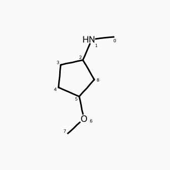 CNC1CCC(OC)C1